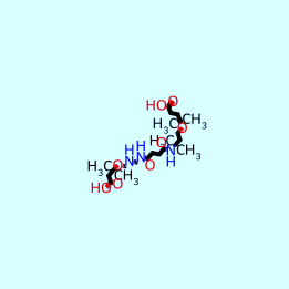 CC(C)(CCOC(C)(C)CCC(=O)O)NC(=O)CCC(=O)NCNCOC(C)(C)CC(=O)O